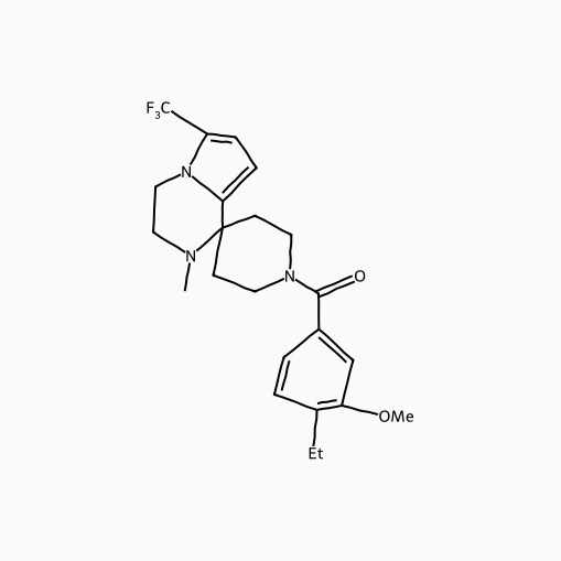 CCc1ccc(C(=O)N2CCC3(CC2)c2ccc(C(F)(F)F)n2CCN3C)cc1OC